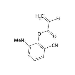 C=C(CC)C(=O)Oc1c(C#N)cccc1NC